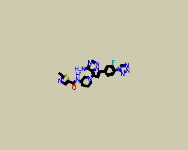 Cc1ncc(C(=O)N[C@@H]2CCCN(c3cc(-c4ccc(-n5cnnn5)c(F)c4)n4ncnc(N)c34)C2)s1